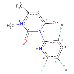 Cn1c(C(F)(F)F)cc(=O)n(-c2nc(F)c(F)cc2F)c1=O